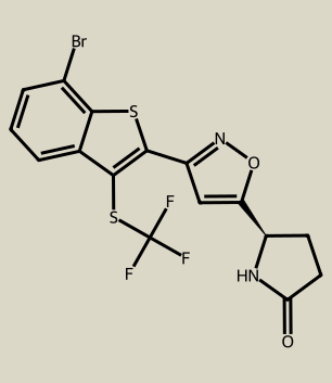 O=C1CC[C@H](c2cc(-c3sc4c(Br)cccc4c3SC(F)(F)F)no2)N1